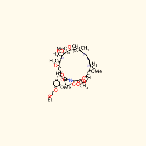 CCOCCO[C@@H]1CC[C@@H](C[C@H]2C3CCCN4C(=O)C(=O)[C@]5(O)O[C@@H](CC[C@H]5C)C[C@H](OC)/C(C)=C/C=C/C=C/[C@@H](C)C[C@@H](C)C(=O)[C@H](OC)[C@H](O)/C(C)=C/[C@@H](C)C(=O)C[C@@H]2OC(=O)[C@H]34)C[C@H]1OC